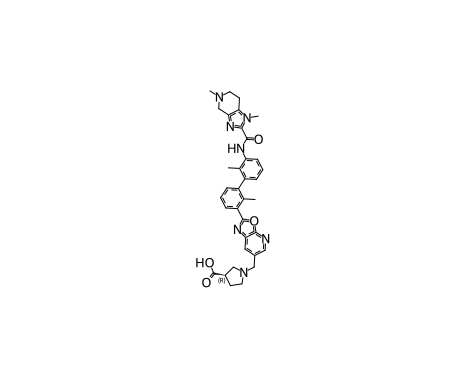 Cc1c(NC(=O)c2nc3c(n2C)CCN(C)C3)cccc1-c1cccc(-c2nc3cc(CN4CC[C@@H](C(=O)O)C4)cnc3o2)c1C